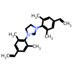 C=Cc1cc(C)c(N2C=[N+](c3c(C)cc(C=C)cc3C)CC2)c(C)c1